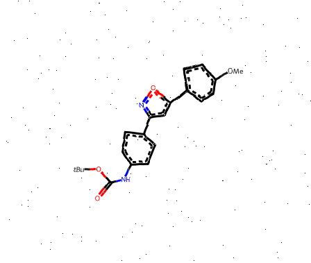 COc1ccc(-c2cc(-c3ccc(NC(=O)OC(C)(C)C)cc3)no2)cc1